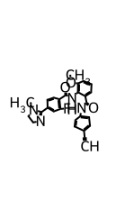 C#Cc1ccc(NC(=O)c2cccc(OC)c2NC(=O)c2ccc(C3=NCCN3C)cc2F)cc1